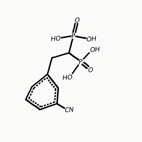 N#Cc1cccc(CC(P(=O)(O)O)P(=O)(O)O)c1